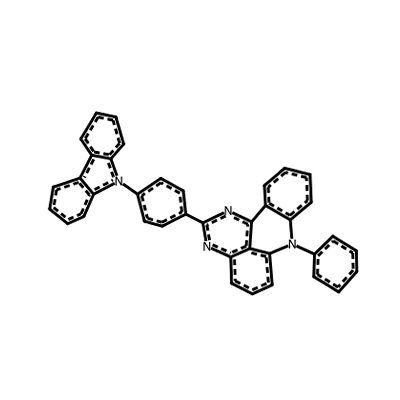 c1ccc(N2c3ccccc3-c3nc(-c4ccc(-n5c6ccccc6c6ccccc65)cc4)nc4cccc2c34)cc1